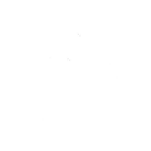 COc1ccc(C2Cc3cc(C(F)(F)F)ccc3N(CCN(C)C)C(=O)C2SC)cc1